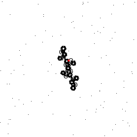 c1ccc2c(c1)Oc1cc(-n3c4ccccc4c4c5oc6ccccc6c5ccc43)cc3c1B2c1cc2c(cc1O3)B1c3ccccc3Oc3cc(-n4c5ccccc5c5c6oc7ccccc7c6ccc54)cc(c31)O2